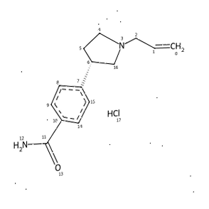 C=CCN1CC[C@@H](c2ccc(C(N)=O)cc2)C1.Cl